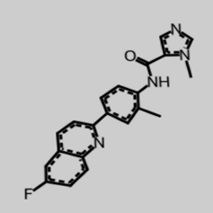 Cc1cc(-c2ccc3cc(F)ccc3n2)ccc1NC(=O)c1cncn1C